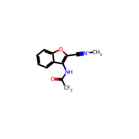 C[N+]#Cc1oc2ccccc2c1NC(=O)C(F)(F)F